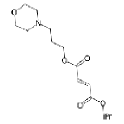 CC(C)OC(=O)/C=C/C(=O)OCCCN1CCOCC1